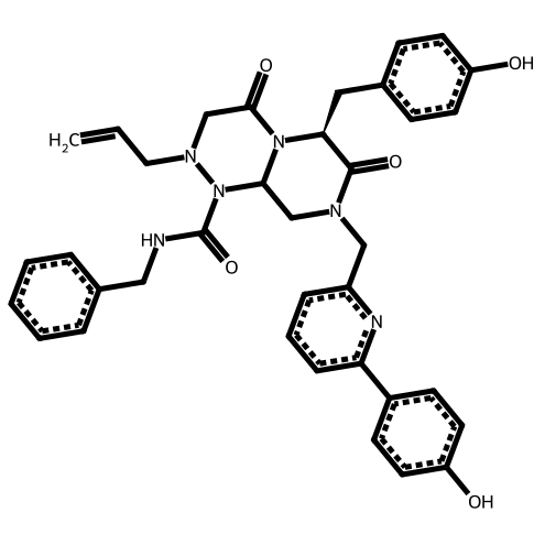 C=CCN1CC(=O)N2C(CN(Cc3cccc(-c4ccc(O)cc4)n3)C(=O)[C@@H]2Cc2ccc(O)cc2)N1C(=O)NCc1ccccc1